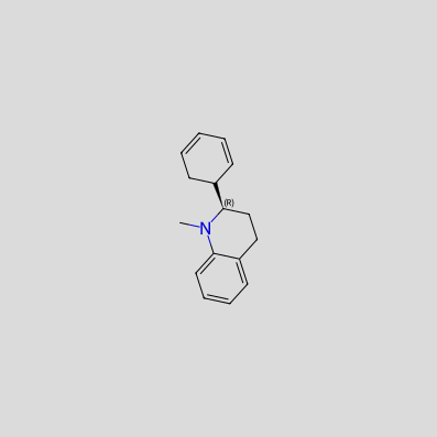 CN1c2ccccc2CC[C@@H]1C1C=CC=CC1